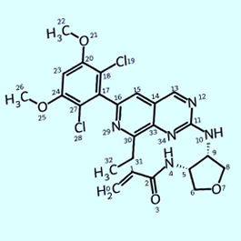 C=CC(=O)N[C@H]1COC[C@H]1Nc1ncc2cc(-c3c(Cl)c(OC)cc(OC)c3Cl)nc(CC)c2n1